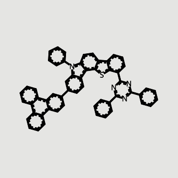 c1ccc(-c2nc(-c3ccccc3)nc(-c3cccc4c3sc3c4ccc4c3c3ccc(-c5ccc6c7ccccc7c7ccccc7c6c5)cc3n4-c3ccccc3)n2)cc1